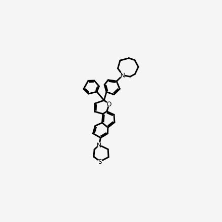 C1=CC(c2ccccc2)(c2ccc(N3CCCCCCC3)cc2)Oc2ccc3cc(N4CCSCC4)ccc3c21